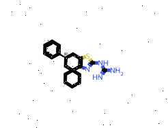 N=C(N)Nc1nc2c(s1)C[C@H](c1ccccc1)CC21CCCCC1